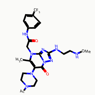 CONCCNc1nc2n(CC(=O)Nc3ccc(C(F)(F)F)cc3)c(C)c(N3CCN(C(C)=O)CC3)c(=O)n2n1